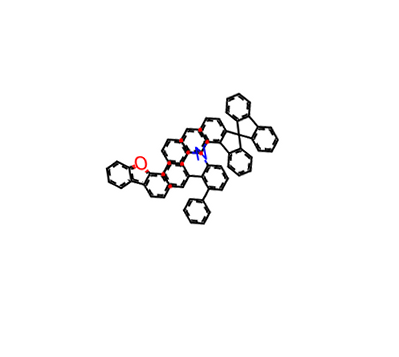 c1ccc(-c2ccccc2-c2c(-c3ccccc3)cccc2N(c2cccc(-c3cccc4c3oc3ccccc34)c2)c2cccc3c2-c2ccccc2C32c3ccccc3-c3ccccc32)cc1